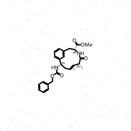 COC(=O)[C@H]1Cc2cccc(c2)[C@@H](NC(=O)OCc2ccccc2)C/C=C/[C@@H](C)C(=O)N1